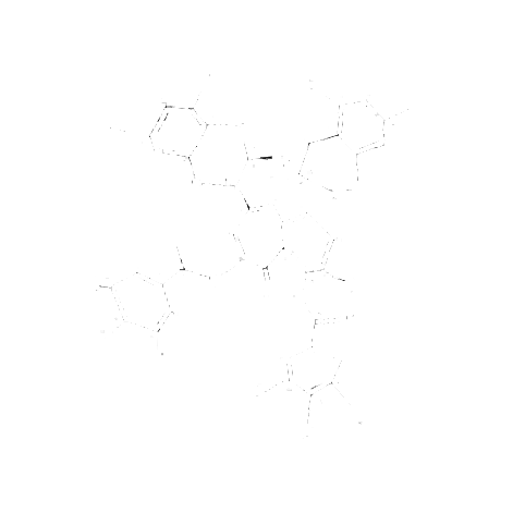 O=C(Oc1cc([C@H]2Oc3cc(O)cc(O)c3C[C@H]2O)cc2c([C@H]3Oc4cc(O)cc(O)c4C[C@H]3O)cc(O)c(OC(=O)c3cc(O)c(O)c(O)c3)c2c1=O)c1cc(O)c(O)c(O)c1